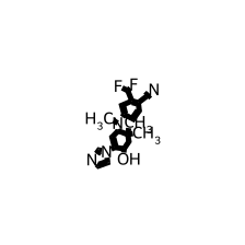 CN(c1ccc(C#N)c(C(F)F)c1)C1C=C(n2ccnc2)C(O)CC1(C)C